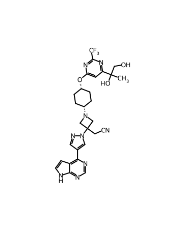 CC(O)(CO)c1cc(O[C@H]2CC[C@@H](N3CC(CC#N)(n4cc(-c5ncnc6[nH]ccc56)cn4)C3)CC2)nc(C(F)(F)F)n1